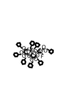 C[C@H]1O[C@@H](O[C@H]2[C@H](OCc3ccccc3)[C@@H](OCc3ccccc3)[C@@H](O[C@H]3[C@H](OCc4ccccc4)CN(C(=O)OCc4ccccc4)[C@H]3CF)O[C@@H]2COCc2ccccc2)[C@H](OCc2ccccc2)[C@@H](OCc2ccccc2)[C@@H]1OCc1ccccc1